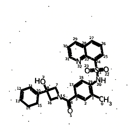 Cc1cc(C(=O)N2CC(O)(C3=CC=CCC3)C2)ccc1NS(=O)(=O)c1cccc2cccnc12